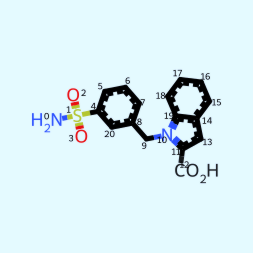 NS(=O)(=O)c1cccc(Cn2c(C(=O)O)cc3ccccc32)c1